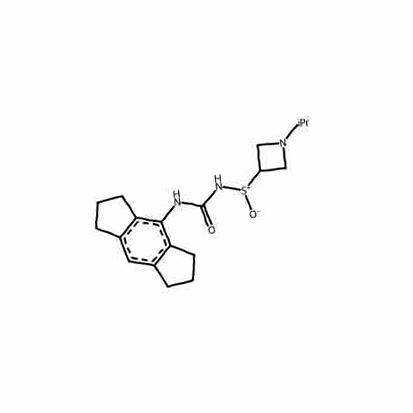 CC(C)N1CC([S+]([O-])NC(=O)Nc2c3c(cc4c2CCC4)CCC3)C1